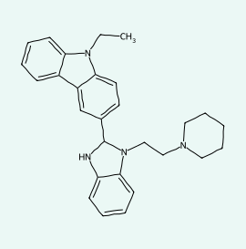 CCn1c2ccccc2c2cc(C3Nc4ccccc4N3CCN3CCCCC3)ccc21